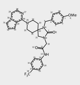 COc1ccc(CN2C(=O)N(CC(=O)Nc3ccc(C(F)(F)F)cc3)CC23CCN(c2nccn4cccc24)CC3)cc1